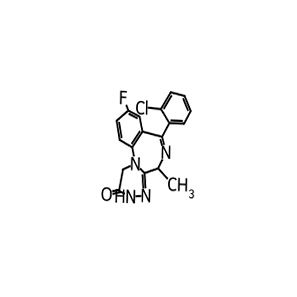 CC1N=C(c2ccccc2Cl)c2cc(F)ccc2N2CC(=O)NN=C12